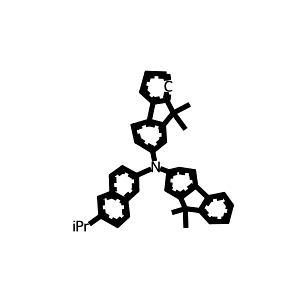 CC(C)c1ccc2cc(N(c3ccc4c(c3)C(C)(C)c3ccccc3-4)c3ccc4c(c3)C(C)(C)c3ccccc3-4)ccc2c1